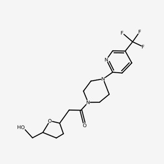 O=C(CC1CCC(CO)O1)N1CCN(c2ccc(C(F)(F)F)cn2)CC1